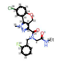 CCNC(=O)CN(Cc1ccccc1F)C(=O)c1nn(C)c2c1COc1ccc(Cl)cc1-2